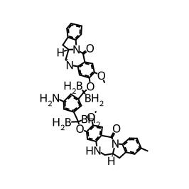 BC(B)(Oc1cc2c(cc1OC)C(=O)N1c3ccccc3C[C@H]1C=N2)c1cc(N)cc(C(B)(B)Oc2cc3c(cc2OC)C(=O)N2c4ccc(C)cc4C[C@H]2CN3)c1